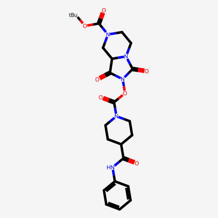 CC(C)(C)OC(=O)N1CCN2C(=O)N(OC(=O)N3CCC(C(=O)Nc4ccccc4)CC3)C(=O)C2C1